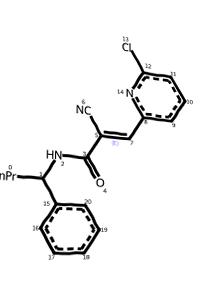 CCCC(NC(=O)/C(C#N)=C/c1cccc(Cl)n1)c1ccccc1